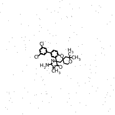 CN1C(=O)C2(CC3(CCOC(C)(C)C3)Oc3ccc(-c4cc(Cl)cc(Cl)c4)cc32)N=C1N